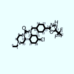 CCN1CCN(C(=O)N(CC2CCC(C3=NNC(C(F)(F)F)O3)CC2)C2CCCC(Cl)C2)CC1